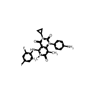 Cc1c(=O)n(C)c(Nc2ccc(I)cc2F)c2c(=O)n(C3CC3)c(=O)n(-c3ccc(N)cc3)c12